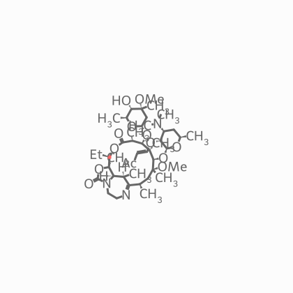 CC[C@H]1OC(=O)[C@H](C)[C@@H](O[C@H]2C[C@@](C)(OC)[C@@H](O)[C@H](C)O2)[C@H](C)[C@@H](O[C@@H]2O[C@H](C)C[C@H](N(C)C)[C@H]2O/C=C/C(C)=O)[C@@](C)(OC)C[C@@H](C)C2=NCCN3C(=O)O[C@@]1(C)[C@H]3[C@H]2C